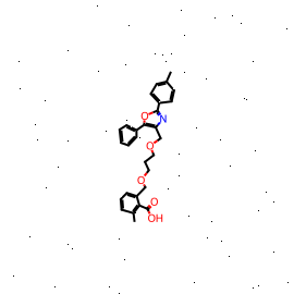 Cc1ccc(-c2nc(COCCCOCc3cccc(C)c3C(=O)O)c(-c3ccccc3)o2)cc1